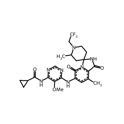 COc1c(NC(=O)C2CC2)ncnc1Nc1cc(C)c2n(c1=O)C1(CCN(CC(F)(F)F)C(C)C1)NC2=O